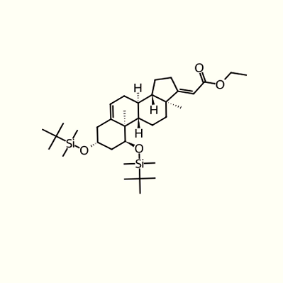 CCOC(=O)C=C1CC[C@H]2[C@@H]3CC=C4C[C@@H](O[Si](C)(C)C(C)(C)C)C[C@H](O[Si](C)(C)C(C)(C)C)[C@]4(C)[C@H]3CC[C@]12C